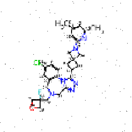 Cc1cc(C)nc(N2CC3(CC(c4nnc5n4-c4ccc(Cl)cc4CN(CC4(F)COC4)C5)C3)C2)c1